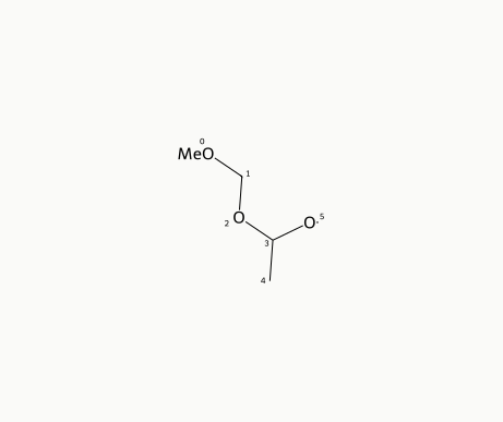 COCOC(C)[O]